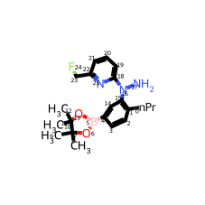 CCCc1ccc(B2OC(C)(C)C(C)(C)O2)cc1N(N)c1cccc(CF)n1